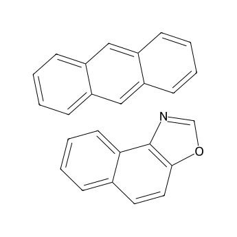 c1ccc2c(c1)ccc1ocnc12.c1ccc2cc3ccccc3cc2c1